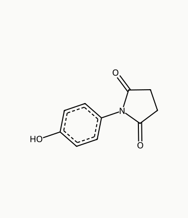 O=C1CCC(=O)N1c1ccc(O)cc1